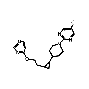 Clc1cnc(N2CCC(C3CC3CCOc3ccncn3)CC2)nc1